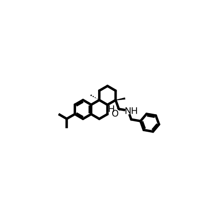 CC(C)c1ccc2c(c1)CC[C@H]1[C@@](C)(C(=O)NCc3ccccc3)CCC[C@]21C